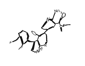 CN(C)C(=O)c1cc(-c2cnc3[nH]cc(-c4cccc(F)c4F)c3c2Cl)cnc1N